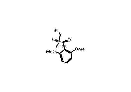 CCCCCCP(=O)(CC(C)C)C(=O)c1c(OC)cccc1OC